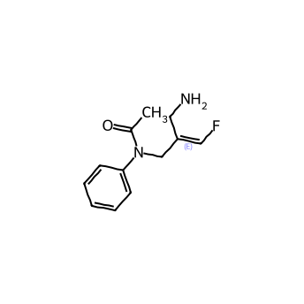 CC(=O)N(C/C(=C/F)CN)c1ccccc1